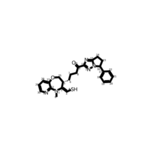 CN1/C(=C/S)[C@@H](CCCC(=O)c2nc3n(n2)C(c2ccccc2)CC3)COc2cccnc21